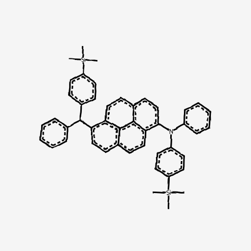 C[Si](C)(C)c1ccc(C(c2ccccc2)c2ccc3ccc4c(N(c5ccccc5)c5ccc([Si](C)(C)C)cc5)ccc5ccc2c3c54)cc1